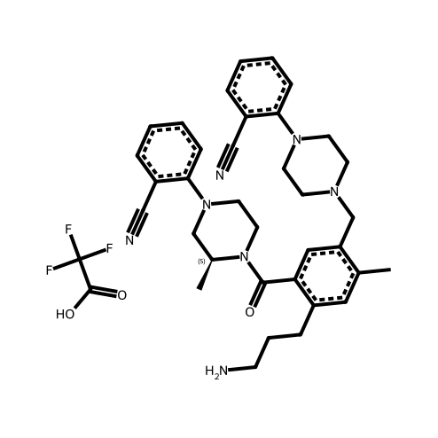 Cc1cc(CCCN)c(C(=O)N2CCN(c3ccccc3C#N)C[C@@H]2C)cc1CN1CCN(c2ccccc2C#N)CC1.O=C(O)C(F)(F)F